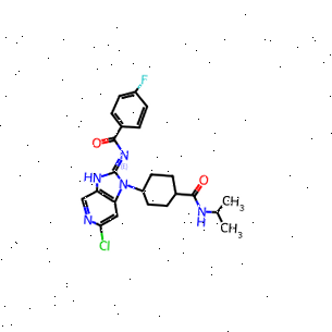 CC(C)NC(=O)C1CCC(n2/c(=N/C(=O)c3ccc(F)cc3)[nH]c3cnc(Cl)cc32)CC1